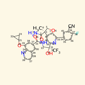 C[C@]1(C(N)=O)COc2c1cc([C@@](O)(CNC(=O)c1cc(OC3CC3)c3ncccc3c1)C(F)(F)F)nc2-c1ccc(F)c(C#N)c1